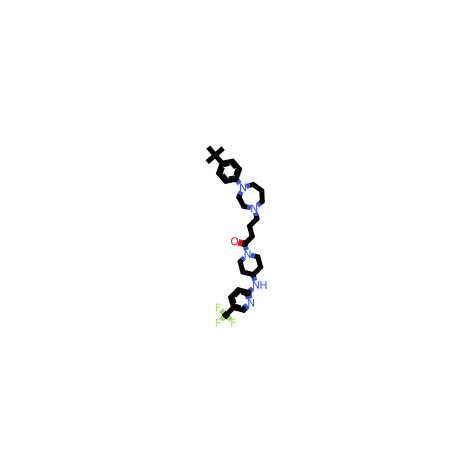 CC(C)(C)c1ccc(N2CCCN(CCCC(=O)N3CCC(Nc4ccc(C(F)(F)F)cn4)CC3)CC2)cc1